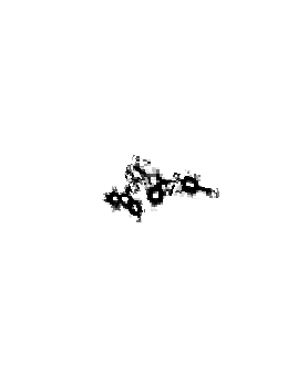 COC(=O)[C@H](Cc1c(Sc2ccc(C#N)cc2)[nH]c2ccccc12)NC(=O)OCC1c2ccccc2-c2ccccc21